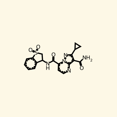 NC(=O)c1c(C2CC2)nn2c(C(=O)NC3CS(=O)(=O)c4ccccc43)ccnc12